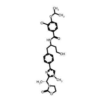 CC(C)Oc1ccc(C(=O)NC(CCO)Cc2ccc(-c3cn(C)c([C@@H](C)N4CCOC4=O)n3)cc2)cc1Cl